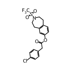 O=C(Cc1ccc(Cl)cc1)Oc1ccc2c(c1)CCN(S(=O)(=O)C(F)(F)F)CC2